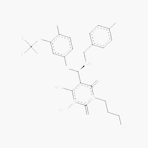 Cn1c(N)c([C@H](NCc2ccc(Cl)cc2)Oc2ccc(Cl)c(OC(F)(F)F)c2)c(=O)n(CCCO)c1=O